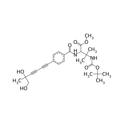 COC(=O)C(NC(=O)c1ccc(C#CC#CC(C)(O)CO)cc1)C(C)(C)NC(=O)OC(C)(C)C